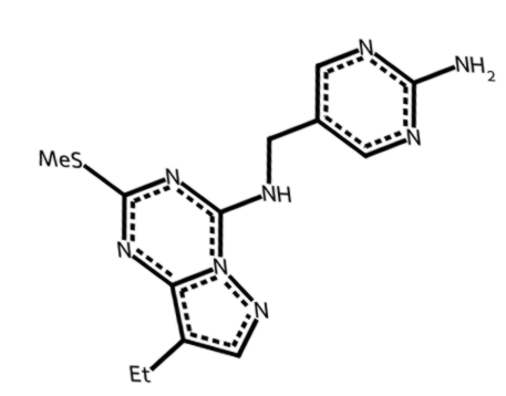 CCc1cnn2c(NCc3cnc(N)nc3)nc(SC)nc12